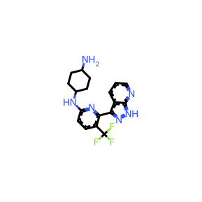 NC1CCC(Nc2ccc(C(F)(F)F)c(-c3n[nH]c4ncccc34)n2)CC1